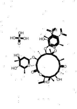 CC[C@H]1OC(=O)[C@H](C)[C@@H](O[C@H]2C[C@@](C)(O)[C@@H](O)[C@H](C)O2)[C@H](C)[C@@H](O[C@@H]2O[C@H](C)C[C@H](N(C)C)[C@H]2O)[C@](C)(O[C@H]2C[C@@H](N(C)C)[C@@H](O)[C@H](C)O2)C[C@@H](C)C(=O)[C@H](C)[C@@H](O)[C@]1(C)O.O=P(O)(O)O